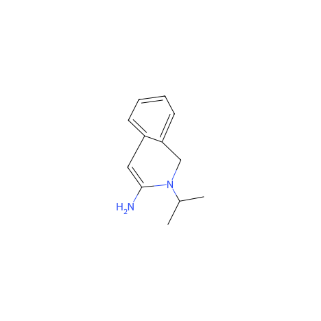 CC(C)N1Cc2ccccc2C=C1N